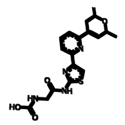 CC1C=C(c2cccc(-c3csc(NC(=O)CNC(=O)O)n3)n2)CC(C)O1